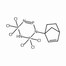 ClP1(Cl)(Cl)N=PN(C23C=CC(CC2)C3)P(Cl)(Cl)(Cl)N1